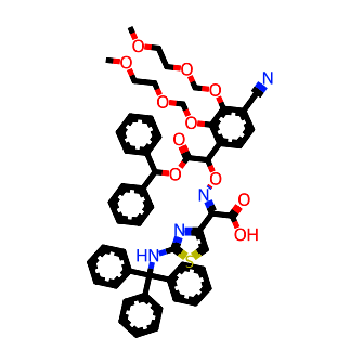 COCCOCOc1c(C#N)ccc(C(ON=C(C(=O)O)c2csc(NC(c3ccccc3)(c3ccccc3)c3ccccc3)n2)C(=O)OC(c2ccccc2)c2ccccc2)c1OCOCCOC